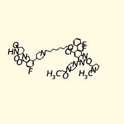 CCC(=O)N1CCN(c2nc(OCC3CCCN3C)nc3c(F)c(-c4c(F)cccc4OCCCCCCCN4CCC(c5cc(F)cc6c5CN(C5CCC(=O)NC5=O)C6=O)CC4)c(Cl)cc23)CC1